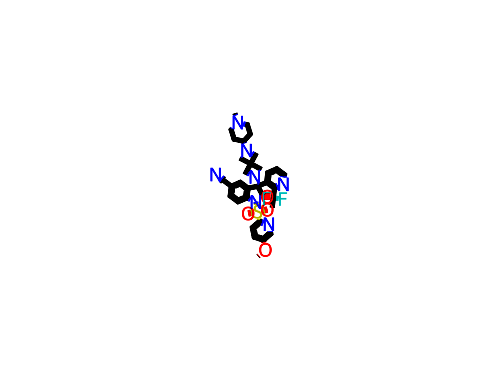 COc1ccc(S(=O)(=O)N2C(=O)C(c3cccnc3C(C)(F)F)(N3CC4(CN(C5CCN(C)CC5)C4)C3)c3cc(C#N)ccc32)nc1